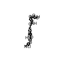 N#Cc1ccc(O[C@H]2CC[C@H](NC(=O)c3ccc(N4CCN(CCCCC(=O)Nc5ccc6c(ccc7onc(C8CCC(=O)NC8=O)c76)c5)CC4)nn3)CC2)cc1Cl